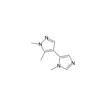 Cc1c(-c2cncn2C)cnn1C